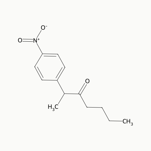 CCCCC(=O)C(C)c1ccc([N+](=O)[O-])cc1